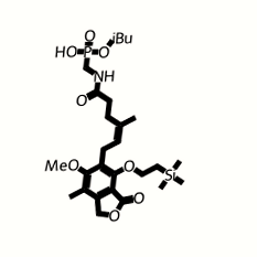 CCC(C)OP(=O)(O)CNC(=O)CCC(C)=CCc1c(OC)c(C)c2c(c1OCC[Si](C)(C)C)C(=O)OC2